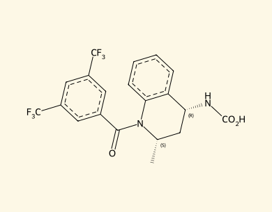 C[C@H]1C[C@@H](NC(=O)O)c2ccccc2N1C(=O)c1cc(C(F)(F)F)cc(C(F)(F)F)c1